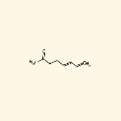 C=CC=CCCC(C)=O